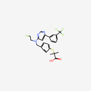 CC(C)(Sc1ccc(CN(CCF)c2cc(-c3cccc(C(F)(F)F)c3)ncn2)cc1)C(=O)O